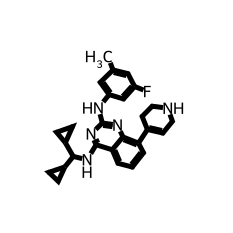 Cc1cc(F)cc(Nc2nc(NC(C3CC3)C3CC3)c3cccc(C4=CCNCC4)c3n2)c1